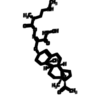 CNCCN(C)C(=O)O/N=C(/O[C@H]1C=C2CC[C@H]3[C@@H]4CC[C@H](C(C)=O)[C@@]4(C)CC[C@@H]3[C@@]2(C)CC1)C(=O)NO